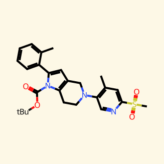 Cc1ccccc1-c1cc2c(n1C(=O)OC(C)(C)C)CCN(c1cnc(S(C)(=O)=O)cc1C)C2